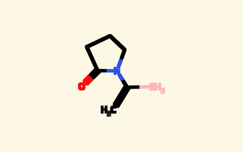 BC(=C)N1CCCC1=O